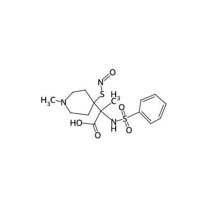 CN1CCC(SN=O)(C(C)(NS(=O)(=O)c2ccccc2)C(=O)O)CC1